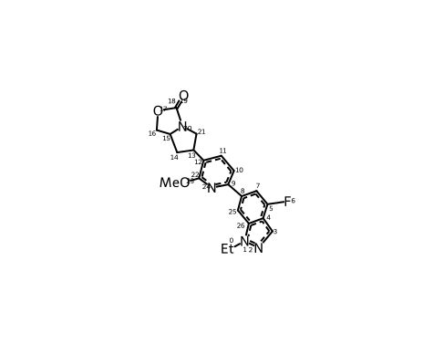 CCn1ncc2c(F)cc(-c3ccc(C4CC5COC(=O)N5C4)c(OC)n3)cc21